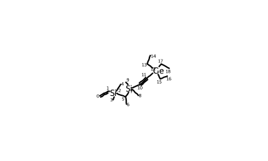 C=C[Si](C)(C)C(C)[Si](C)(C)C#[C][Ge]([CH2]C)([CH2]C)[CH2]C